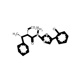 C[C@@H](c1ccccc1)[C@H](CC(=O)O)C(=O)N(C)c1nc(-c2ccccc2Cl)cs1